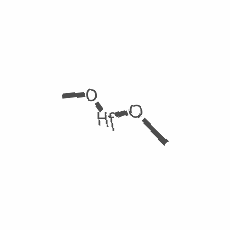 C[O][Hf][O]C